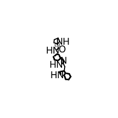 O=C(Nc1ccc2[nH]c(Cc3c[nH]c4ccccc34)nc2c1)[C@@H]1CCCN1